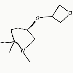 CN1C[C@H](OC2COC2)CC1(C)C